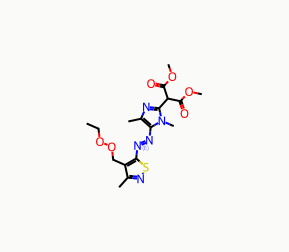 CCOOCc1c(C)nsc1/N=N/c1c(C)nc(C(C(=O)OC)C(=O)OC)n1C